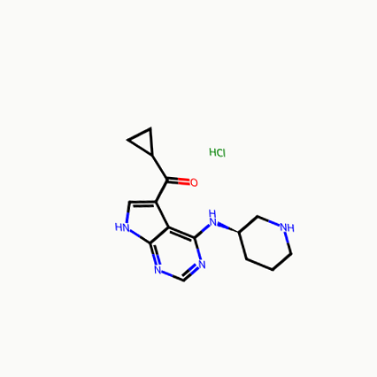 Cl.O=C(c1c[nH]c2ncnc(N[C@@H]3CCCNC3)c12)C1CC1